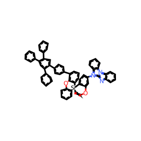 c1ccc(-c2cc(-c3ccccc3)c(-c3ccc(-c4cccc5c4Oc4ccccc4[Si]54c5ccccc5Oc5cc(-n6c7ccccc7n7c8ccccc8nc67)ccc54)cc3)cc2-c2ccccc2)cc1